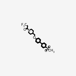 CS(=O)(=O)c1ccc(-c2ccc(OCC3CCN(C(=O)CC(F)(F)F)CC3)cc2)cc1